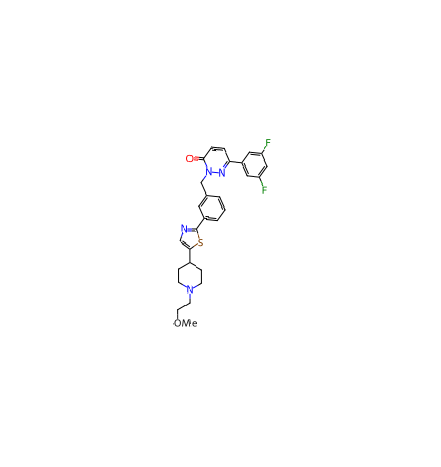 COCCN1CCC(c2cnc(-c3cccc(Cn4nc(-c5cc(F)cc(F)c5)ccc4=O)c3)s2)CC1